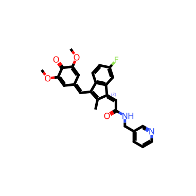 COC1=CC(=CC2=C(C)/C(=C\C(=O)NCc3cccnc3)c3cc(F)ccc32)C=C(OC)C1=O